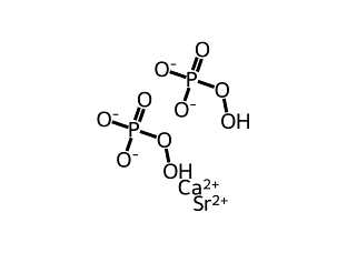 O=P([O-])([O-])OO.O=P([O-])([O-])OO.[Ca+2].[Sr+2]